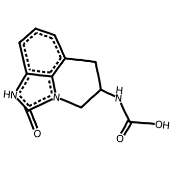 O=C(O)NC1Cc2cccc3[nH]c(=O)n(c23)C1